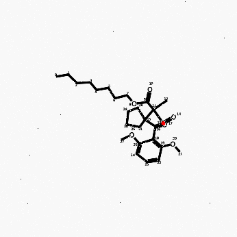 CCCCCCCCOC(=O)C(C)(P=O)C1(C(=O)c2c(OC)cccc2OC)CCCC1